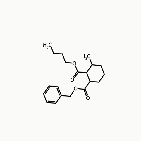 CCCCOC(=O)C1C(C)CCCC1C(=O)OCc1ccccc1